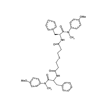 COc1ccc(N(C)C(=O)C(Cc2ccccc2)NC(=O)CCSCCC(=O)N[C@@H](Cc2ccccc2)C(=O)N(C)c2ccc(OC)cc2)cc1